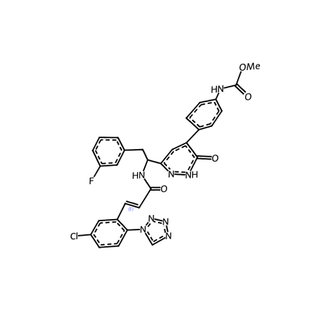 COC(=O)Nc1ccc(-c2cc(C(Cc3cccc(F)c3)NC(=O)/C=C/c3cc(Cl)ccc3-n3cnnn3)n[nH]c2=O)cc1